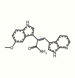 COc1ccc2[nH]cc(/C(=C/c3c[nH]c4ncccc34)C(N)=O)c2c1